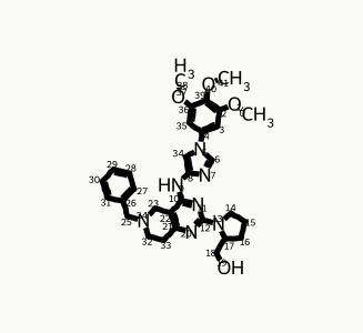 COc1cc(-n2cnc(Nc3nc(N4CCCC4CO)nc4c3CN(Cc3ccccc3)CC4)c2)cc(OC)c1OC